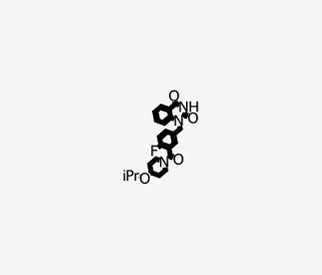 CC(C)OC1CCN(C(=O)c2cc(Cn3c(=O)[nH]c(=O)c4ccccc43)ccc2F)CC1